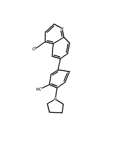 N#Cc1cc(-c2ccc3nccc(Cl)c3c2)ccc1N1CCCC1